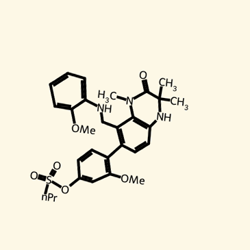 CCCS(=O)(=O)Oc1ccc(-c2ccc3c(c2CNc2ccccc2OC)N(C)C(=O)C(C)(C)N3)c(OC)c1